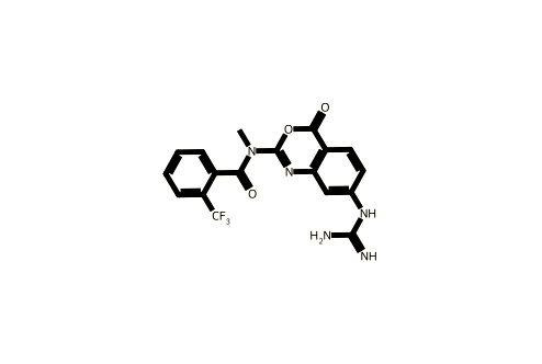 CN(C(=O)c1ccccc1C(F)(F)F)c1nc2cc(NC(=N)N)ccc2c(=O)o1